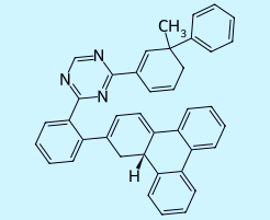 CC1(c2ccccc2)C=C(c2ncnc(-c3ccccc3C3=CC=C4c5ccccc5-c5ccccc5[C@@H]4C3)n2)C=CC1